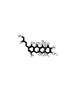 C=C1C2=C(O)[C@@]3(O)C(=O)C(C(C)=O)=C(C)C[C@@]3(C)C[C@@]2(C)Cc2c(C(C)C)cc(CCC(=O)CC(C)C)c(C)c21